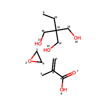 C1CO1.C=C(C)C(=O)O.CCC(CO)(CO)CO